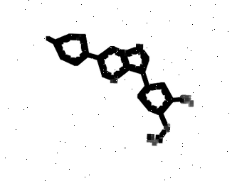 Cc1ccc(-c2cnc3c(-c4ccc(SN)c(C(F)(F)F)c4)cnn3c2)cc1